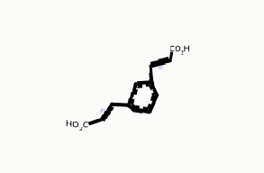 O=C(O)/C=C/c1cccc(/C=C/C(=O)O)c1